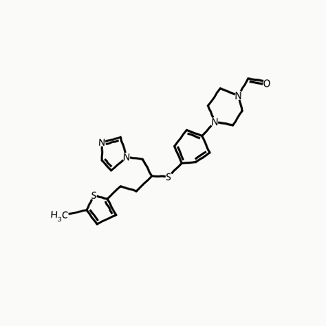 Cc1ccc(CCC(Cn2ccnc2)Sc2ccc(N3CCN(C=O)CC3)cc2)s1